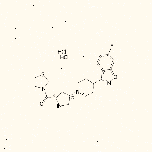 Cl.Cl.O=C([C@@H]1C[C@H](N2CCC(c3noc4cc(F)ccc34)CC2)CN1)N1CCSC1